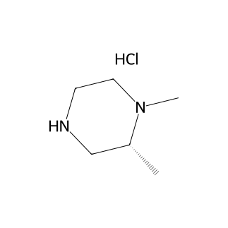 C[C@@H]1CNCCN1C.Cl